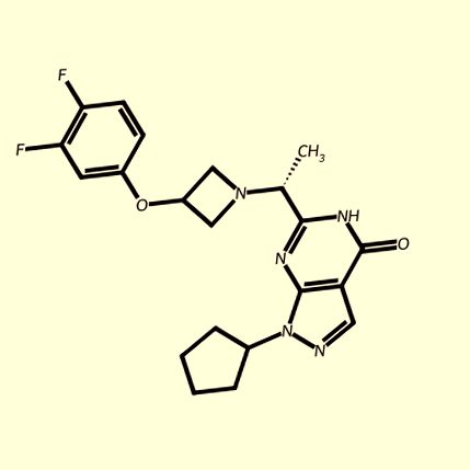 C[C@H](c1nc2c(cnn2C2CCCC2)c(=O)[nH]1)N1CC(Oc2ccc(F)c(F)c2)C1